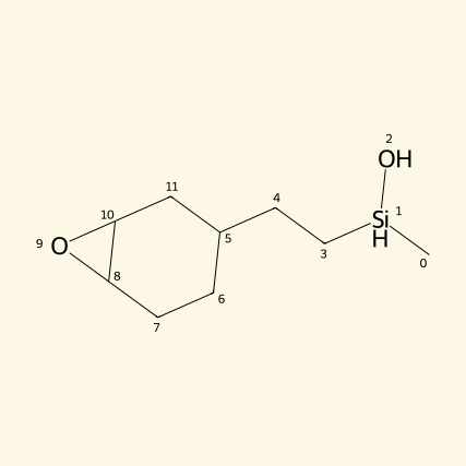 C[SiH](O)CCC1CCC2OC2C1